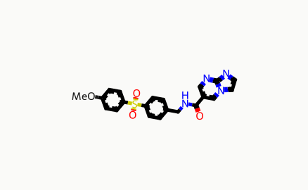 COc1ccc(S(=O)(=O)c2ccc(CNC(=O)c3cnc4nccn4c3)cc2)cc1